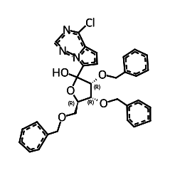 OC1(c2ccc3c(Cl)ncnn23)O[C@H](COCc2ccccc2)[C@@H](OCc2ccccc2)[C@H]1OCc1ccccc1